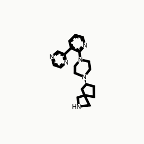 c1cnc(N2CCN([C@@H]3CCC4(CNC4)C3)CC2)c(-c2cnccn2)c1